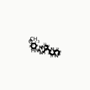 CO[C@H]1CC[C@@H](Nc2ncc3c(-c4ccc5ncccc5n4)ccn3n2)CC1